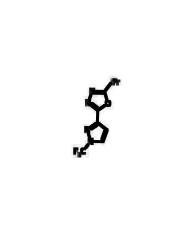 CC(C)c1nnc(-c2ccn(C(F)(F)F)n2)o1